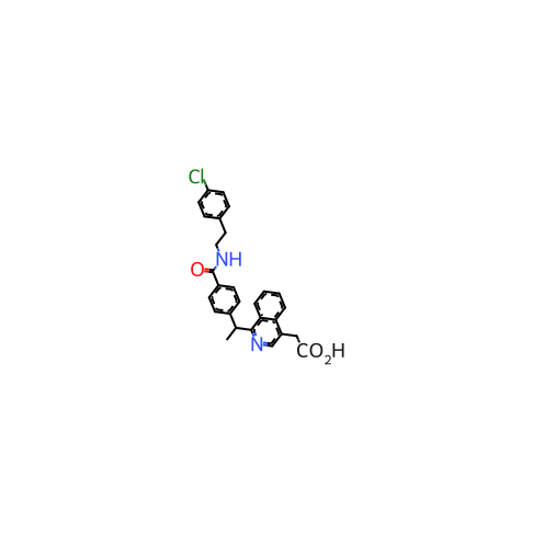 CC(c1ccc(C(=O)NCCc2ccc(Cl)cc2)cc1)c1ncc(CC(=O)O)c2ccccc12